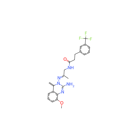 C=C1c2cccc(OC)c2N=C(N)N1/N=C(\C)CNC(=O)CCc1cccc(C(F)(F)F)c1